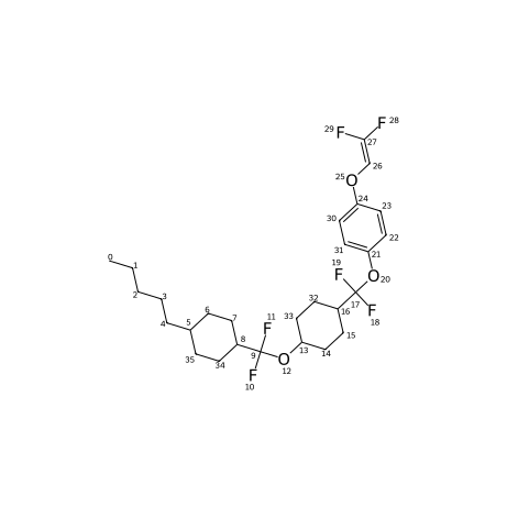 CCCCCC1CCC(C(F)(F)OC2CCC(C(F)(F)Oc3ccc(OC=C(F)F)cc3)CC2)CC1